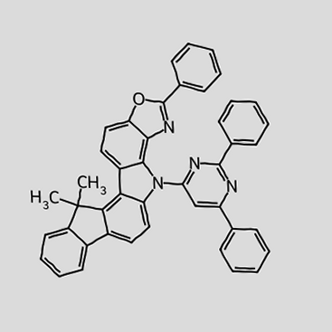 CC1(C)c2ccccc2-c2ccc3c(c21)c1ccc2oc(-c4ccccc4)nc2c1n3-c1cc(-c2ccccc2)nc(-c2ccccc2)n1